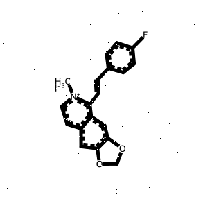 C[n+]1ccc2cc3c(cc2c1C=Cc1ccc(F)cc1)OCO3.[I-]